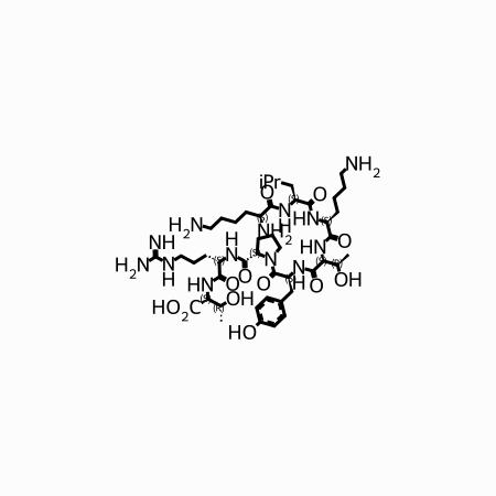 CC(C)C[C@H](NC(=O)[C@@H](N)CCCCN)C(=O)N[C@@H](CCCCN)C(=O)N[C@H](C(=O)N[C@@H](Cc1ccc(O)cc1)C(=O)N1CCC[C@H]1C(=O)N[C@@H](CCCNC(=N)N)C(=O)N[C@H](C(=O)O)[C@@H](C)O)[C@@H](C)O